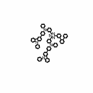 c1ccc(-c2ccccc2-c2cccc(-c3nc(-c4cccc(N(c5ccccc5)c5ccc(-c6ccc7c(c6)c6ccccc6n7-c6ccccc6)cc5)c4)nc(-c4cccc(N(c5ccccc5)c5ccc(-c6ccc7c(c6)c6ccccc6n7-c6ccccc6)cc5)c4)n3)c2)cc1